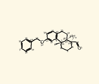 C[C@]1(C=O)CCC[C@]2(C)c3cc(OCc4ccccc4)ccc3CC[C@@H]12